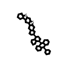 c1ccc(-c2c3ccccc3c(-c3ccc(-c4ccc5cc6c(cc5c4)sc4cc5sc7ccccc7c5cc46)c4ccccc34)c3ccccc23)cc1